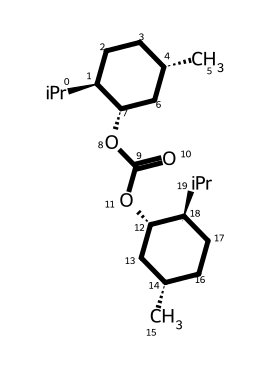 CC(C)[C@H]1CC[C@H](C)C[C@@H]1OC(=O)O[C@H]1C[C@@H](C)CC[C@@H]1C(C)C